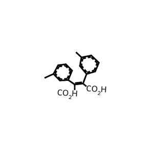 Cc1cccc(C(C(=O)O)=C(C(=O)O)c2cccc(C)c2)c1